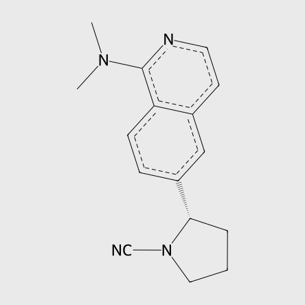 CN(C)c1nccc2cc([C@@H]3CCCN3C#N)ccc12